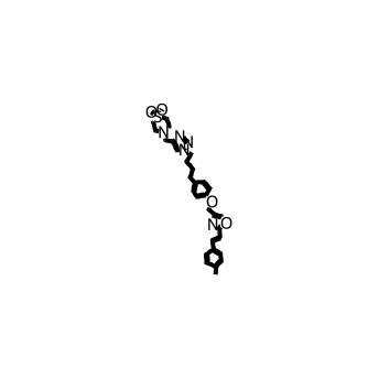 Cc1ccc(/C=C/c2nc(COc3ccc(CCCCn4cc(CN5CCS(=O)(=O)CC5)nn4)cc3)co2)cc1